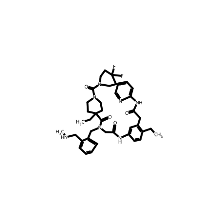 CCc1ccc(NC(=O)CN(Cc2ccccc2CNC)C(=O)C2(CC)CCN(C(=O)N3CCC(F)(F)CC3)CC2)cc1CC(=O)Nc1ccccn1